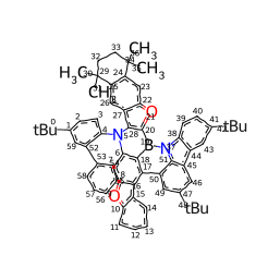 CC(C)(C)c1ccc(N2c3cc4oc5ccccc5c4c4c3B(c3oc5cc6c(cc5c32)C(C)(C)CCC6(C)C)n2c3ccc(C(C)(C)C)cc3c3cc(C(C)(C)C)cc-4c32)c(-c2ccccc2)c1